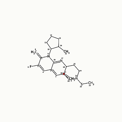 C=N/C=c1/cc(F)c(=C)n(C2CCCC2C)/c1=N/C1CCN(SC)CC1